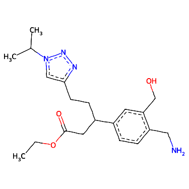 CCOC(=O)CC(CCc1cn(C(C)C)nn1)c1ccc(CN)c(CO)c1